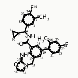 Cc1cc(C(NC(=O)c2cc(Cn3ccoc3=N)cc(-c3ccc(F)cc3C)c2)C2CC2)ccc1F